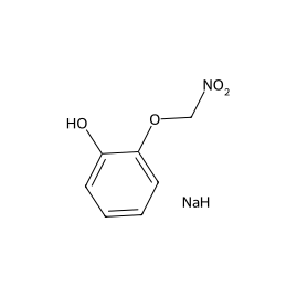 O=[N+]([O-])COc1ccccc1O.[NaH]